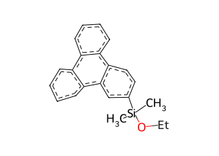 CCO[Si](C)(C)c1ccc2c3ccccc3c3ccccc3c2c1